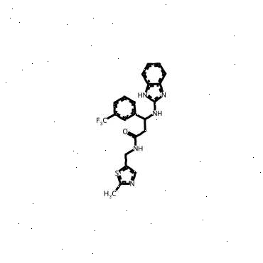 Cc1ncc(CNC(=O)CC(Nc2nc3ccccc3[nH]2)c2cccc(C(F)(F)F)c2)s1